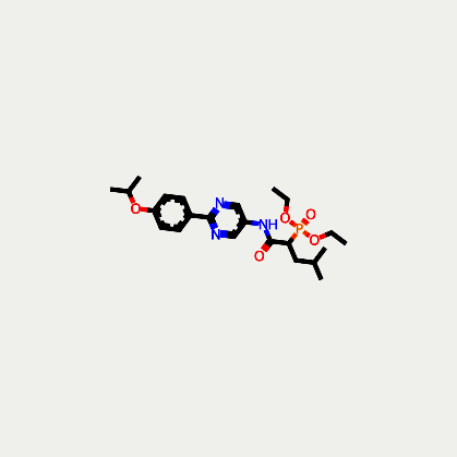 CCOP(=O)(OCC)C(CC(C)C)C(=O)Nc1cnc(-c2ccc(OC(C)C)cc2)nc1